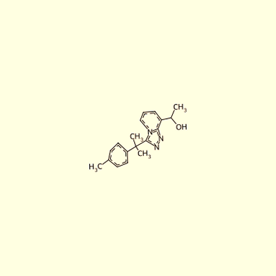 Cc1ccc(C(C)(C)c2nnc3c(C(C)O)cccn23)cc1